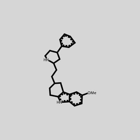 COc1ccc2[nH]c3c(c2c1)CC(CCC1CC(c2ccccc2)CCN1)CC3